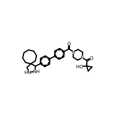 O=C(c1ccc(-c2ccc(C3NNCC34CCCCCCC4)cc2)cc1)N1CCN(C(=O)C2(O)CC2)CC1